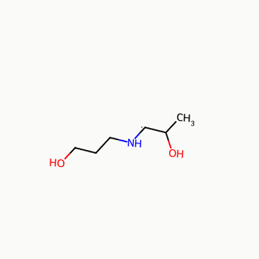 CC(O)[CH]NCCCO